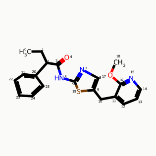 CCC(C(=O)Nc1ncc(Cc2cccnc2OC)s1)c1ccccc1